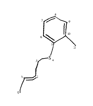 C/C=C/CSc1ccccc1C